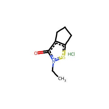 CCn1sc2c(c1=O)CCC2.Cl